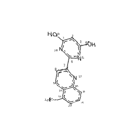 Oc1cc(O)nc(-c2ccc3c(F)cccc3n2)n1